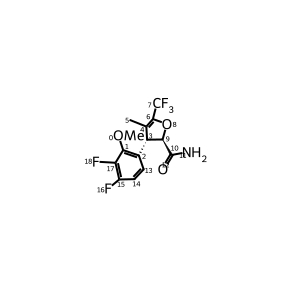 COc1c([C@@H]2C(C)=C(C(F)(F)F)O[C@H]2C(N)=O)ccc(F)c1F